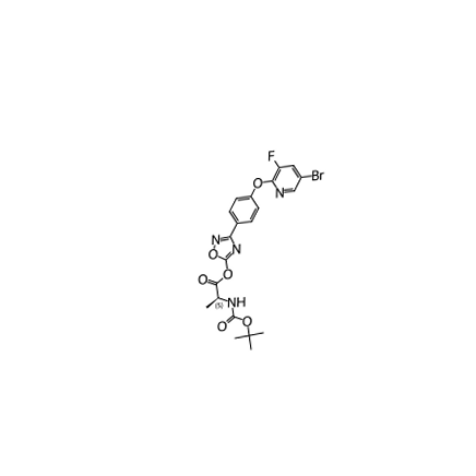 C[C@H](NC(=O)OC(C)(C)C)C(=O)Oc1nc(-c2ccc(Oc3ncc(Br)cc3F)cc2)no1